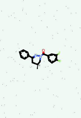 C[C@H]1CC(c2ccccc2)=NN(C(=O)c2ccc(F)c(F)c2)C1